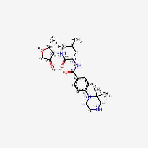 CC(C)C[C@H](NC(=O)c1ccc(N2CCNCC2(C)C)cc1)C(=O)N[C@@H]1C(=O)CO[C@@H]1C